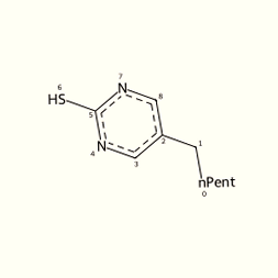 CCCCCCc1cnc(S)nc1